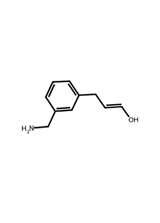 NCc1cccc(CC=CO)c1